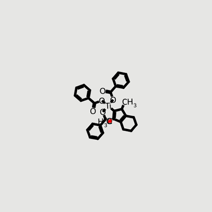 CC1=[C]([Ti]([O]C(=O)c2ccccc2)([O]C(=O)c2ccccc2)[O]C(=O)c2ccccc2)C(C)C2=C1CCCC2